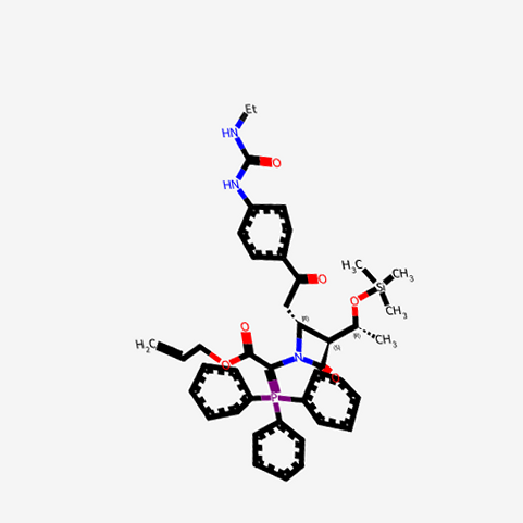 C=CCOC(=O)C(N1C(=O)[C@H]([C@@H](C)O[Si](C)(C)C)[C@H]1CC(=O)c1ccc(NC(=O)NCC)cc1)=P(c1ccccc1)(c1ccccc1)c1ccccc1